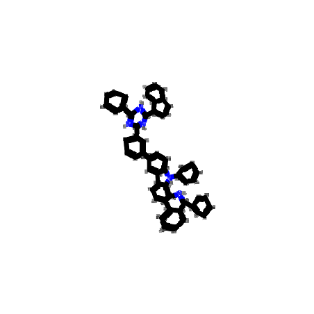 c1ccc(-c2nc(-c3cccc(-c4ccc5c(c4)c4ccc6c7ccccc7c(-c7ccccc7)nc6c4n5-c4ccccc4)c3)nc(-c3cccc4ccccc34)n2)cc1